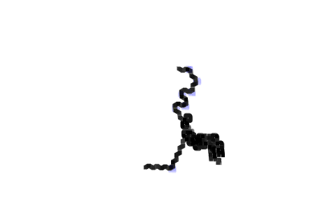 CC/C=C\C/C=C\C/C=C\C/C=C\C/C=C\C/C=C\CCC(=O)OC[C@H](COP(=O)(O)OC[C@H](N)C(=O)O)OC(=O)CCCCCCC/C=C\CCCCCC